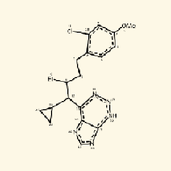 CCC(CCc1ccc(OC)cc1Cl)C(c1nn[nH]c2ncnc1-2)C1CC1